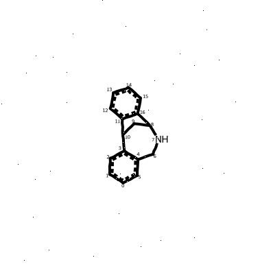 c1ccc2c(c1)CNC1CC2c2ccccc21